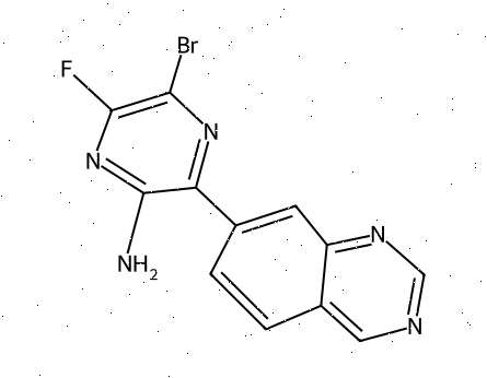 Nc1nc(F)c(Br)nc1-c1ccc2cncnc2c1